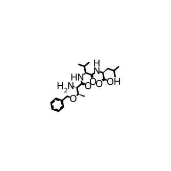 CC(C)C[C@H](NC(=O)[C@@H](NC(=O)[C@@H](N)[C@@H](C)OCc1ccccc1)C(C)C)C(=O)O